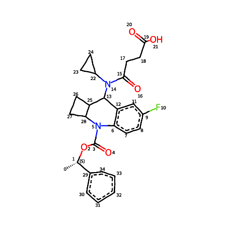 C[C@H](OC(=O)N1c2ccc(F)cc2C(N(C(=O)CCC(=O)O)C2CC2)C2CCC21)c1ccccc1